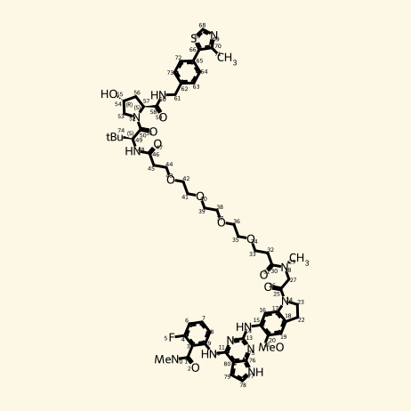 CNC(=O)c1c(F)cccc1Nc1nc(Nc2cc3c(cc2OC)CCN3C(=O)CN(C)C(=O)CCOCCOCCOCCOCCC(=O)N[C@H](C(=O)N2C[C@H](O)C[C@H]2C(=O)NCc2ccc(-c3scnc3C)cc2)C(C)(C)C)nc2[nH]ccc12